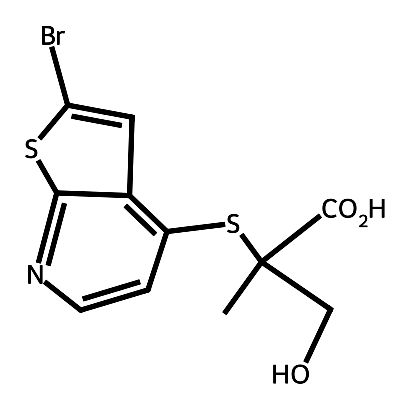 CC(CO)(Sc1ccnc2sc(Br)cc12)C(=O)O